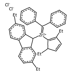 CCC1=[C]([Zr+2](=[C](c2ccccc2)c2ccccc2)[CH]2c3cc(CC)ccc3-c3ccc(CC)cc32)C(CC)C=C1.[Cl-].[Cl-]